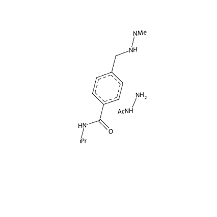 CNNCc1ccc(C(=O)NC(C)C)cc1.[CH2]C(=O)NN